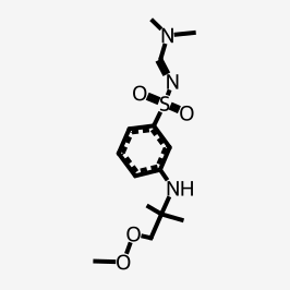 COOCC(C)(C)Nc1cccc(S(=O)(=O)/N=C/N(C)C)c1